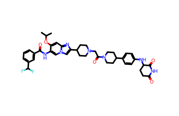 CC(C)Oc1cc2nc(C3CCN(CC(=O)N4CCC(c5ccc(NC6CCC(=O)NC6=O)cc5)CC4)CC3)cn2cc1NC(=O)c1cccc(C(F)F)c1